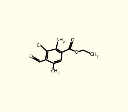 CCOC(=O)c1cc(C)c(C=O)c(Cl)c1N